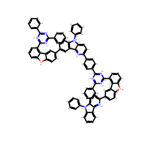 c1ccc(-c2nc(-c3ccccc3)nc(-c3cccc4oc5ccc(-c6ccc7c(c6)c6nc(-c8ccc(-c9nc(-c%10ccccc%10)nc(-c%10cccc%11oc%12ccc(-c%13ccc%14c(n%13)c%13ccccc%13n%14-c%13ccccc%13)cc%12c%10%11)n9)cc8)ccc6n7-c6ccccc6)cc5c34)n2)cc1